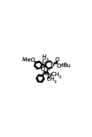 COC1=CC(C)([C@]2(OC(=O)c3ccccc3)CCN(C(=O)OC(C)(C)C)C[C@H]2CN(C)C)CC=C1